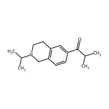 CC(C)C(=O)c1ccc2c(c1)CCN(C(C)C)C2